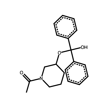 CC(=O)N1CCCC(OC(O)(c2ccccc2)c2ccccc2)C1